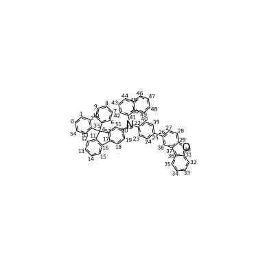 c1ccc(C2(c3ccccc3)c3ccccc3-c3ccc(N(c4ccc(-c5ccc6oc7ccccc7c6c5)cc4)c4cccc5ccccc45)cc32)cc1